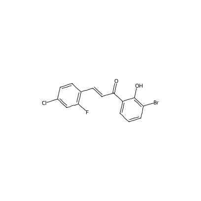 O=C(C=Cc1ccc(Cl)cc1F)c1cccc(Br)c1O